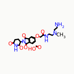 CN(CCN)CCNC(=O)COc1ccc2c(c1)C(=O)N(C1CCC(=O)NC1=O)C2=O.O=CO